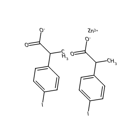 CC(C(=O)[O-])c1ccc(I)cc1.CC(C(=O)[O-])c1ccc(I)cc1.[Zn+2]